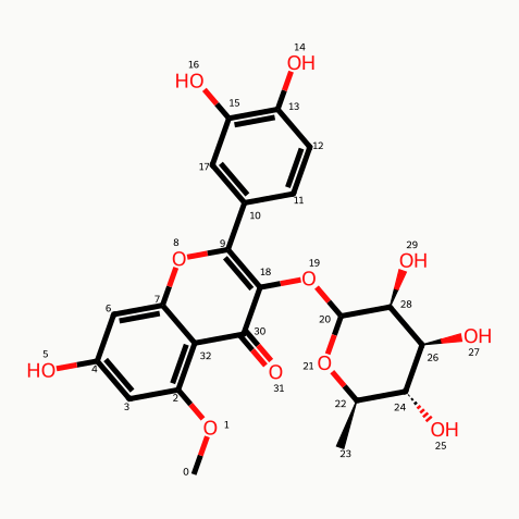 COc1cc(O)cc2oc(-c3ccc(O)c(O)c3)c(OC3O[C@H](C)[C@@H](O)[C@H](O)[C@@H]3O)c(=O)c12